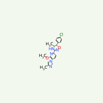 COc1nc(C2=NOC(c3ccc(Cl)cc3)C(C)N2)ccc1-n1cnc(C)c1